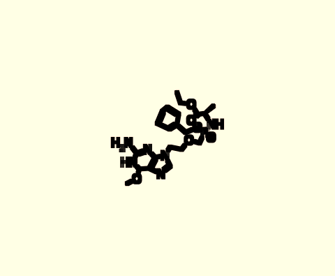 CCOC(=O)[C@@H](C)NP(=O)(COCCn1cnc2c1N=C(N)NC2OC)OCc1ccccc1